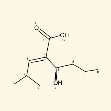 CCC[C@@H](O)/C(=C\C(C)C)C(=O)O